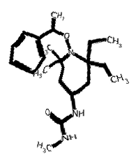 CCC1(CC)CC(NC(=O)NC)CC(C)(C)N1OC(C)c1ccccc1